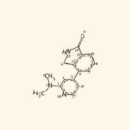 CN(C)c1cc(-c2cccc3c2CNC3=O)ccn1